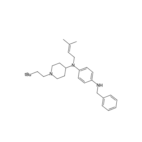 CC(C)=CCN(c1ccc(NCc2ccccc2)cc1)C1CCN(CCC(C)(C)C)CC1